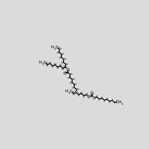 CCCCCCCCCOC(=O)OCCCCN(CC)CCCCCCCC(=O)OC(CCCCCCCC)CCCCCCCC